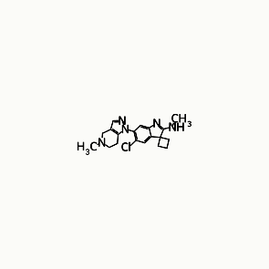 CNC1=Nc2cc(-n3ncc4c3CCN(C)C4)c(Cl)cc2C12CCC2